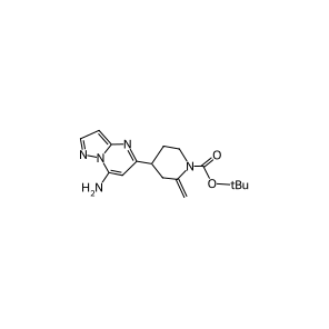 C=C1CC(c2cc(N)n3nccc3n2)CCN1C(=O)OC(C)(C)C